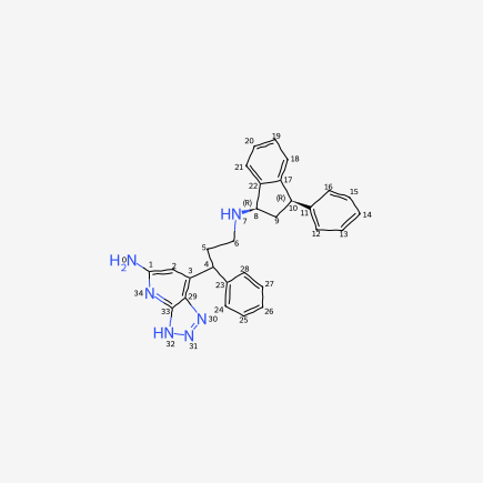 Nc1cc(C(CCN[C@@H]2C[C@H](c3ccccc3)c3ccccc32)c2ccccc2)c2nn[nH]c2n1